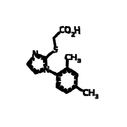 Cc1ccc(-n2ccnc2SCC(=O)O)c(C)c1